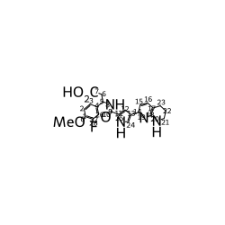 COc1ccc(C(CC(=O)O)NC(=O)c2cc(-c3ccc4c(n3)NCCC4)c[nH]2)cc1F